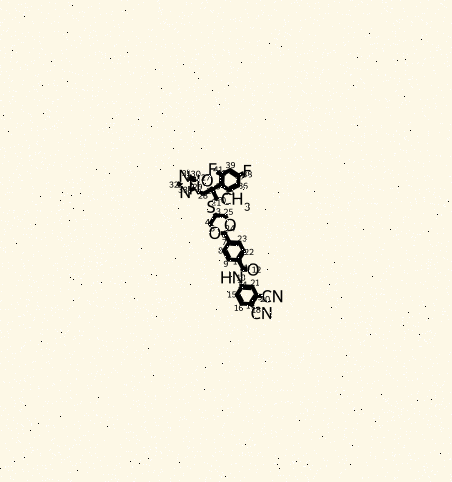 C[C@@H](SC1COC(c2ccc(C(=O)Nc3ccc(C#N)c(C#N)c3)cc2)OC1)[C@](O)(Cn1cncn1)c1ccc(F)cc1F